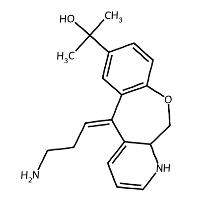 CC(C)(O)c1ccc2c(c1)/C(=C/CCN)C1=CC=CNC1CO2